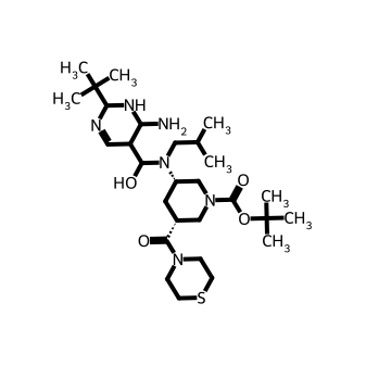 CC(C)CN(C(O)C1C=NC(C(C)(C)C)NC1N)[C@H]1C[C@@H](C(=O)N2CCSCC2)CN(C(=O)OC(C)(C)C)C1